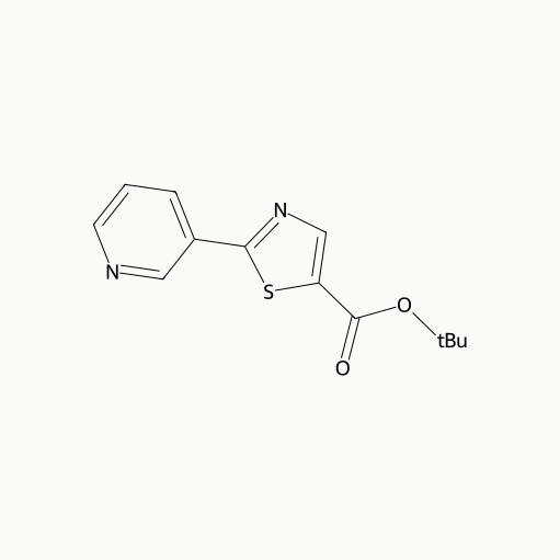 CC(C)(C)OC(=O)c1cnc(-c2cccnc2)s1